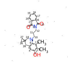 Cc1c(O)cc2c(c1C)N(CCCN1C(=O)c3ccccc3C1=O)CC1(CC1)C2